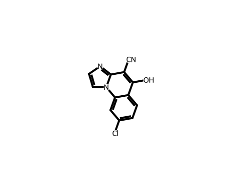 N#Cc1c(O)c2ccc(Cl)cc2n2ccnc12